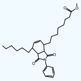 CCCCCCC1C=CC(CCCCCCCC(=O)OC)C2C(=O)N(c3ccccc3)C(=O)C12